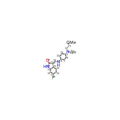 CCCN(CCOC)c1ccc(N/C=C2/C(=O)Nc3cc(F)ccc32)cc1